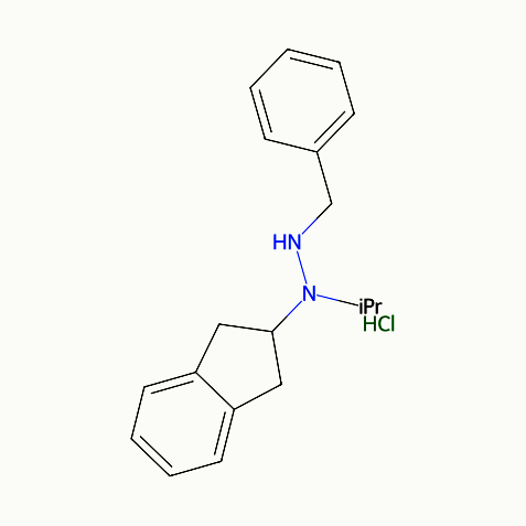 CC(C)N(NCc1ccccc1)C1Cc2ccccc2C1.Cl